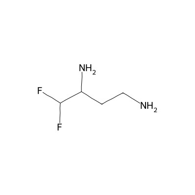 NCCC(N)C(F)F